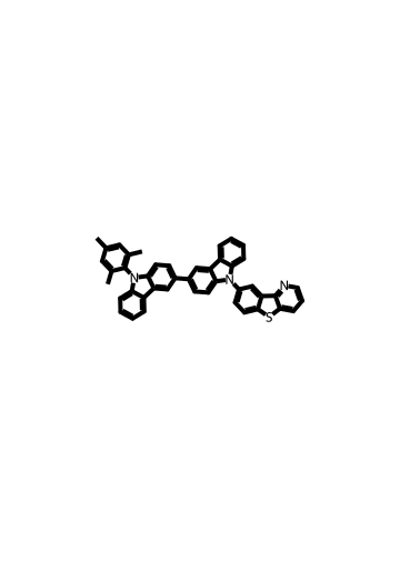 Cc1cc(C)c(-n2c3ccccc3c3cc(-c4ccc5c(c4)c4ccccc4n5-c4ccc5sc6cccnc6c5c4)ccc32)c(C)c1